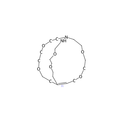 C1=C2\CCOCCOCCN(CCOCCOC/1)NCOCCOCC2